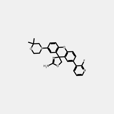 CC1(C)CN(c2ccc3c(c2)C2(COC(N)=N2)c2cc(-c4cccnc4F)ccc2O3)CCO1